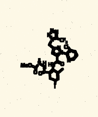 COC(=O)N(C)NC(=O)C1=C(NC(=O)c2cc(Cn3nnnc3C(F)(F)F)nn2-c2ncccc2Cl)C(C)=CC(I)C1